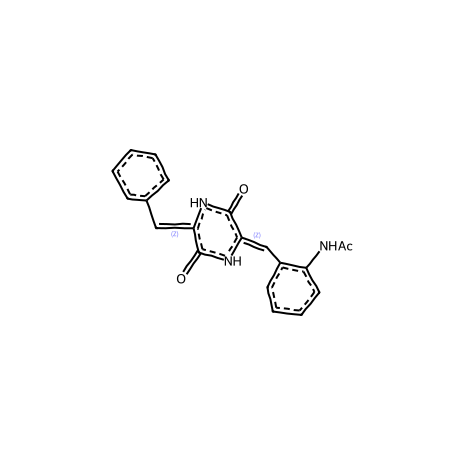 CC(=O)Nc1ccccc1/C=c1\[nH]c(=O)/c(=C/c2ccccc2)[nH]c1=O